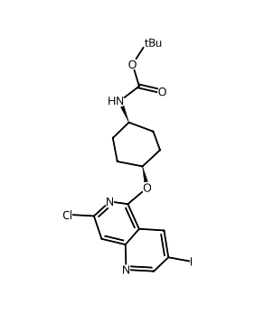 CC(C)(C)OC(=O)N[C@H]1CC[C@@H](Oc2nc(Cl)cc3ncc(I)cc23)CC1